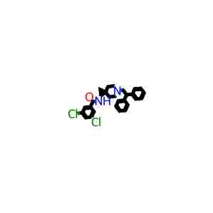 O=C(NC1CC12CCN(CC(c1ccccc1)c1ccccc1)CC2)c1cc(Cl)cc(Cl)c1